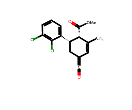 COC(=O)[C@@H]1C(C)=CC(=C=O)C[C@@H]1c1cccc(Cl)c1Cl